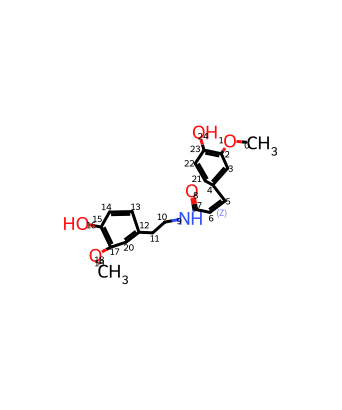 COc1cc(/C=C\C(=O)NCCc2ccc(O)c(OC)c2)ccc1O